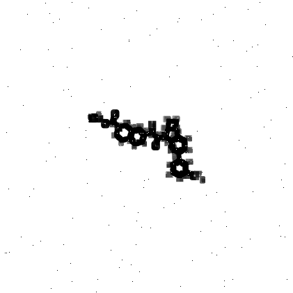 CC(C)(C)OC(=O)N1CCc2ccc(NC(=O)N3c4nc(-c5cccc(C(F)(F)F)c5)ccc4N4CCC43)cc2C1